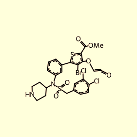 COC(=O)c1sc(-c2cccc(N(C3CCNCC3)S(=O)(=O)Cc3ccc(Cl)c(Cl)c3)c2)c(Br)c1OC=C=O